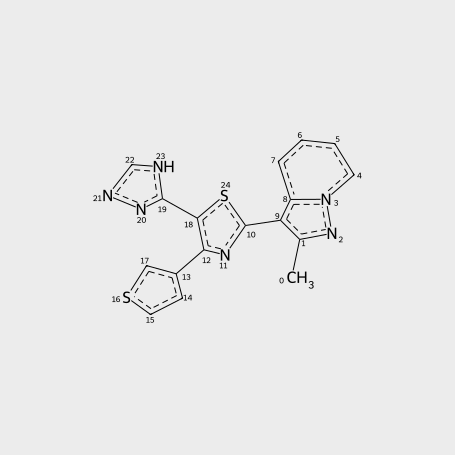 Cc1nn2ccccc2c1-c1nc(-c2ccsc2)c(-c2nnc[nH]2)s1